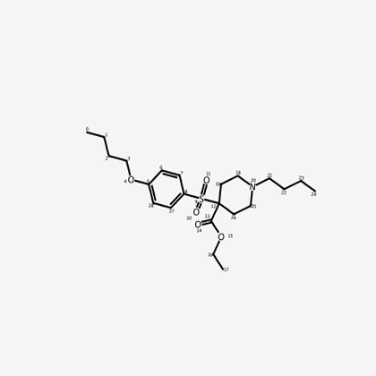 CCCCOc1ccc(S(=O)(=O)C2(C(=O)OCC)CCN(CCCC)CC2)cc1